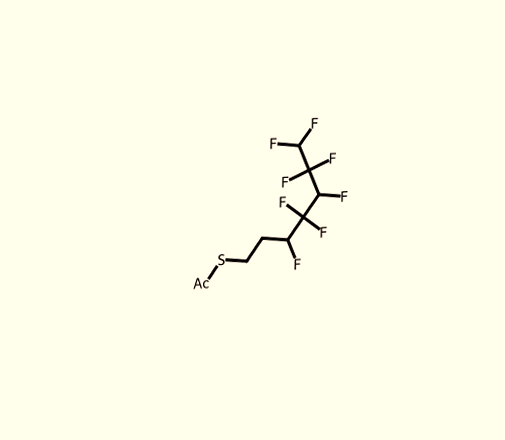 CC(=O)SCCC(F)C(F)(F)C(F)C(F)(F)C(F)F